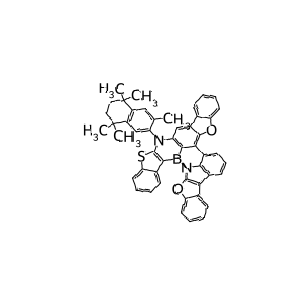 Cc1cc2c(cc1N1c3cc4c(oc5ccccc54)c4c3B(c3c1sc1ccccc31)n1c3oc5ccccc5c3c3cccc-4c31)C(C)(C)CCC2(C)C